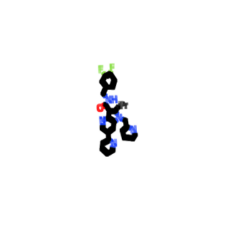 CC(C)c1c(C(=O)NCc2ccc(F)c(F)c2)c2ncc(-c3ccccn3)cc2n1Cc1ccccn1